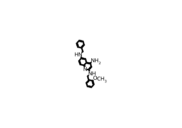 COc1ccccc1CNc1cc(N)c2cc(NCc3ccccc3)ccc2n1